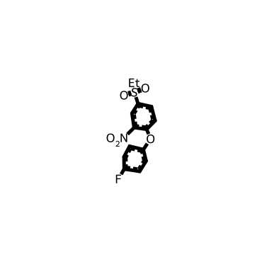 CCS(=O)(=O)c1ccc(Oc2ccc(F)cc2)c([N+](=O)[O-])c1